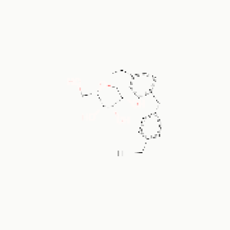 CCc1ccc(Cc2ccc3c(c2)[C@]2(CC3)O[C@H](CO)[C@@H](O)[C@H](O)[C@H]2O)cc1